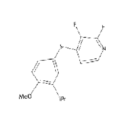 COc1ccc(Sc2ccnc(F)c2F)cc1C(C)C